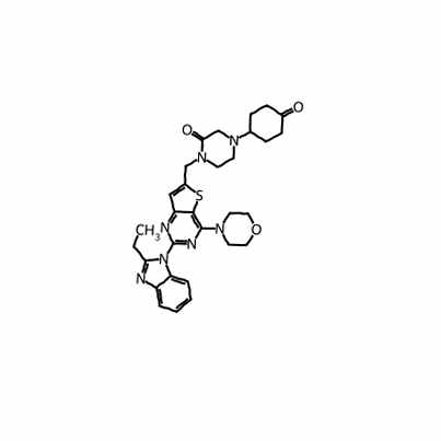 CCc1nc2ccccc2n1-c1nc(N2CCOCC2)c2sc(CN3CCN(C4CCC(=O)CC4)CC3=O)cc2n1